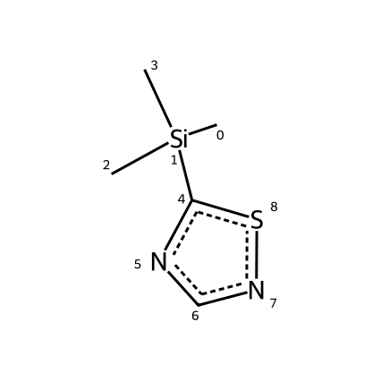 C[Si](C)(C)c1ncns1